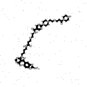 Nc1nc2cc(-c3nn(CCCCNC(=O)CCOCCNC(=O)c4cnc(N5CCN(CCOCCC(=O)N6CCNCC6)CC5)nc4)c4ncnc(N)c34)ccc2o1